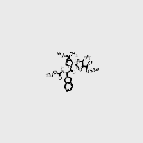 CCCC(NC(=O)[C@@H]1C2C(CN1C(=O)[C@@H](NC(=O)OC(C)(C)C)C1Cc3ccccc3C1)C2(C)C)C(=O)C(=O)NC